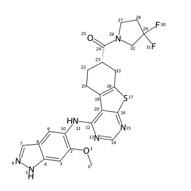 COc1cc2[nH]ncc2cc1Nc1ncnc2sc3c(c12)CC[C@H](C(=O)N1CCC(F)(F)C1)C3